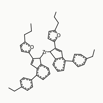 CCCc1ccc(C2=Cc3c(-c4ccc(CC)cc4)cccc3[CH]2[Zr][CH]2C(c3ccc(CCC)o3)=Cc3c(-c4ccc(CC)cc4)cccc32)o1